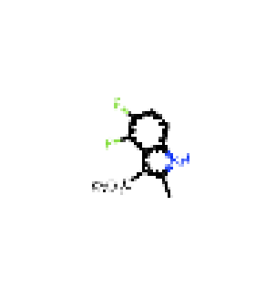 CCOC(=O)c1c(C)[nH]c2ccc(F)c(F)c12